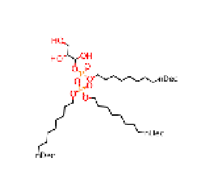 CCCCCCCCCCCCCCCCCCOP(=O)(OCCCCCCCCCCCCCCCCCC)OP(=O)(OCCCCCCCCCCCCCCCCCC)OC(O)C(O)CO